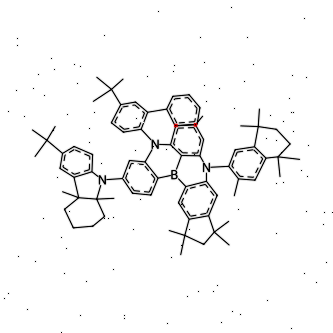 Cc1cc2c3c(c1)N(c1ccc(C(C)(C)C)cc1-c1ccccc1)c1cc(N4c5ccc(C(C)(C)C)cc5C5(C)CCCCC45C)ccc1B3c1cc3c(cc1N2c1cc2c(cc1C)C(C)(C)CCC2(C)C)C(C)(C)CC3(C)C